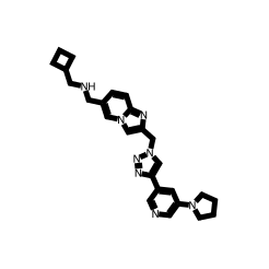 c1cc2nc(Cn3cc(-c4cncc(N5CCCC5)c4)nn3)cn2cc1CNCC1CCC1